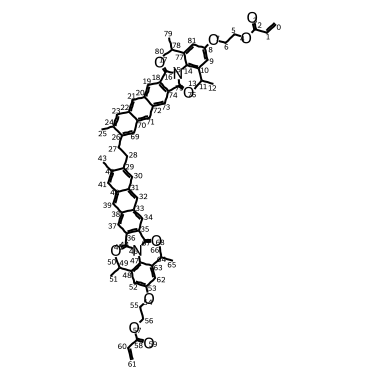 C=CC(=O)OCCOc1cc(C(C)C)c(N2C(=O)c3cc4cc5cc(C)c(CCc6cc7cc8cc9c(cc8cc7cc6C)C(=O)N(c6c(C(C)C)cc(OCCOC(=O)C=C)cc6C(C)C)C9=O)cc5cc4cc3C2=O)c(C(C)C)c1